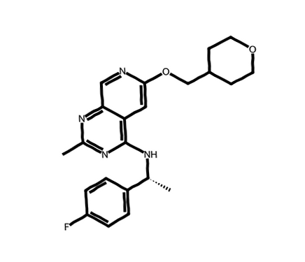 Cc1nc(N[C@H](C)c2ccc(F)cc2)c2cc(OCC3CCOCC3)ncc2n1